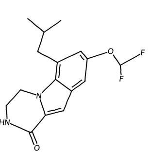 CC(C)Cc1cc(OC(F)F)cc2cc3n(c12)CCNC3=O